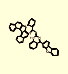 N=C(/N=c1/nc(-c2ccc3c(c2)oc2ccccc23)c2ccccc2[nH]1)c1ccccc1-n1c2ccc3ccccc3c2c2c3ccccc3ccc21